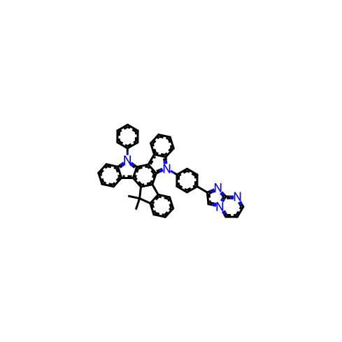 CC1(C)c2ccccc2-c2c1c1c3ccccc3n(-c3ccccc3)c1c1c3ccccc3n(-c3ccc(-c4cn5cccnc5n4)cc3)c21